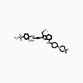 COc1cc(S(C)(=O)=O)ccc1NCC#Cc1sc2c(NC3CCC(N4CCS(=O)(=O)CC4)CC3)cccc2c1CC(F)(F)F